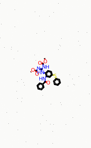 COC(=O)/N=C(/NC(=O)OC)Nc1ccc(Sc2ccccc2)cc1NC(=O)c1ccccc1